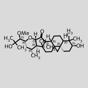 CO[C@@H]([C@H]1C[C@@H](C)[C@H]2[C@H](O1)C(=O)[C@@]1(C)[C@@H]3CC[C@H]4C(C)(C)[C@@H](O)CC[C@@]45C[C@@]35CC[C@]21C)C(C)(C)O